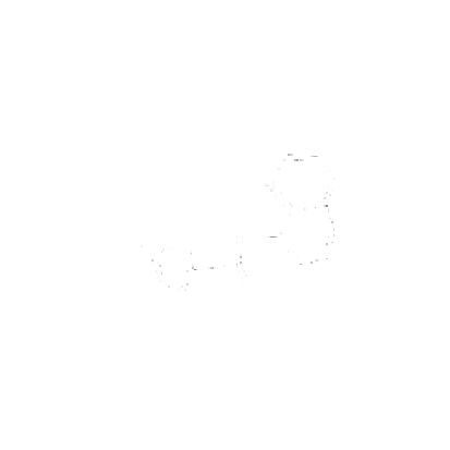 Cc1ccc(C(=O)Nc2cccc3cccnc23)s1